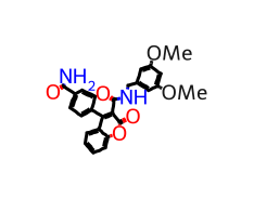 COc1cc(CNC(=O)c2c(-c3ccc(C(N)=O)cc3)c3ccccc3oc2=O)cc(OC)c1